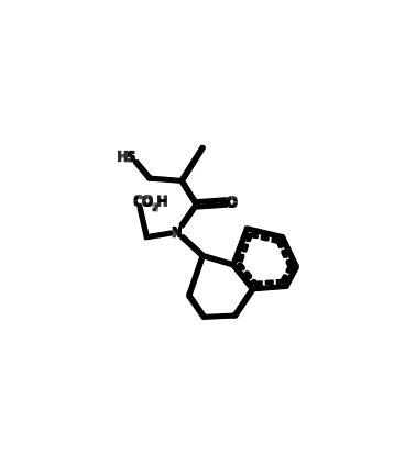 CC(CS)C(=O)N(CC(=O)O)C1CCCc2ccccc21